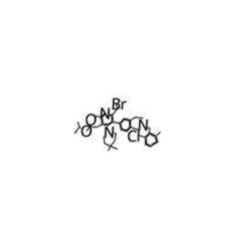 Cc1cccc(Cl)c1CN1CCc2cc(-c3c(CBr)nc(C)c(CC(=O)OC(C)C)c3N3CCC(C)(C)CC3)ccc2C1